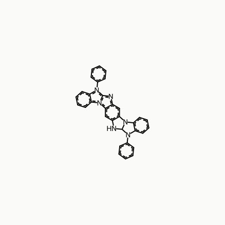 c1ccc(N2c3ccccc3N3c4cc5nc6n(-c7ccccc7)c7ccccc7n6c5cc4NC23)cc1